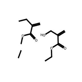 C=C(CC)C(=O)OC.C=C(CO)C(=O)OCC.CC